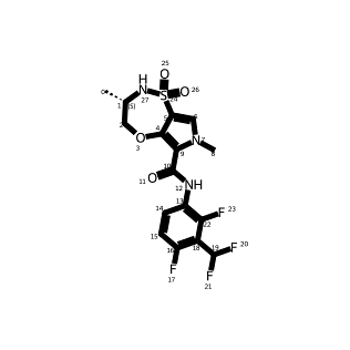 C[C@H]1COc2c(cn(C)c2C(=O)Nc2ccc(F)c(C(F)F)c2F)S(=O)(=O)N1